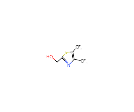 OCc1nc(C(F)(F)F)c(C(F)(F)F)s1